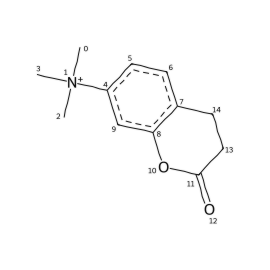 C[N+](C)(C)c1ccc2c(c1)OC(=O)CC2